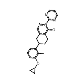 Cc1c(OC2CC2)cccc1C1CCc2c(cnn(-c3nc[c]cn3)c2=O)C1